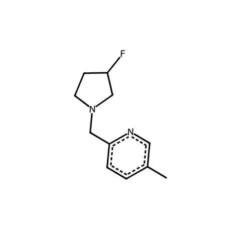 Cc1ccc(CN2CCC(F)C2)nc1